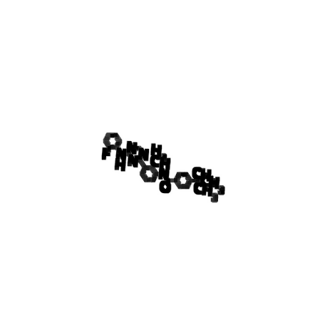 Cc1c(NC(=O)c2ccc(C(C)(C)C)cc2)cccc1-c1ncnc(Nc2ccccc2F)n1